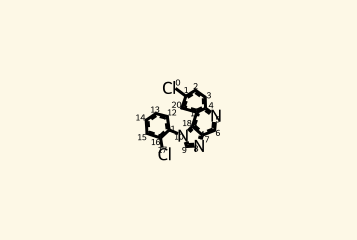 Clc1ccc2ncc3ncn(-c4ccccc4Cl)c3c2c1